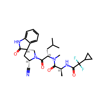 CC(C)C[C@@H](C(=O)N1C[C@]2(C[C@H]1C#N)C(=O)Nc1ccccc12)N(C)C(=O)[C@H](C)NC(=O)C(F)(F)C1CC1